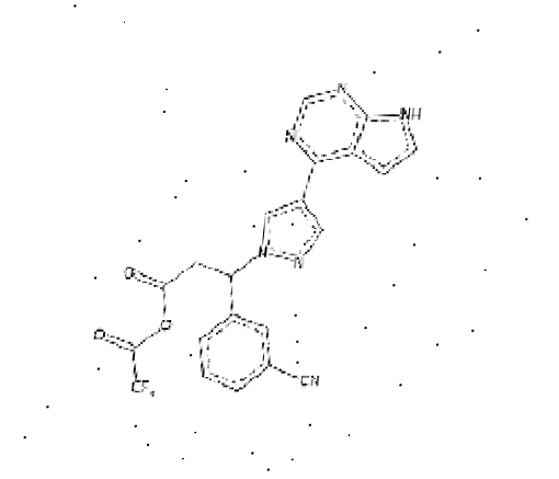 N#Cc1cccc(C(CC(=O)OC(=O)C(F)(F)F)n2cc(-c3ncnc4[nH]ccc34)cn2)c1